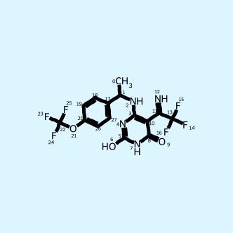 CC(Nc1nc(O)[nH]c(=O)c1C(=N)C(F)(F)F)c1ccc(OC(F)(F)F)cc1